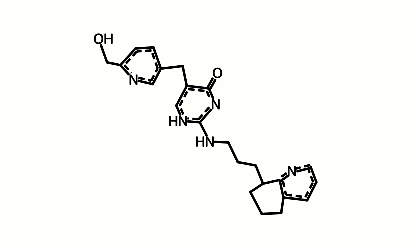 O=c1nc(NCCCC2CCCc3cccnc32)[nH]cc1Cc1ccc(CO)nc1